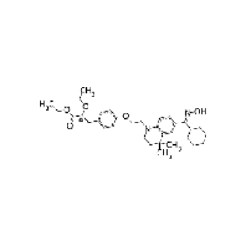 CCOC(=O)[C@H](Cc1ccc(OCCN2CCC(C)(C)c3cc(C(=NO)C4CCCCC4)ccc32)cc1)OCC